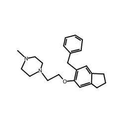 CN1CCN(CCOc2cc3c(cc2Cc2ccccc2)CCC3)CC1